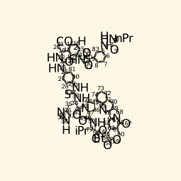 CCCNC(=O)Nc1cccc(S(=O)(=O)Nc2cccc(C(CC(=O)O)NC(=O)Nc3ccc(NC(=S)N[C@@H](Cc4c[nH]cn4)C(=O)N4CCC[C@H]4C(=O)N[C@H](C(=O)O[C@]4(CC)C(=O)OCc5c4cc4n(c5=O)Cc5cc6ccccc6nc5-4)C(C)C)cc3)c2)c1